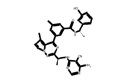 Cc1cc(C(=O)N[C@@H](C)c2cccc(O)c2)cc(-c2nc([C@H](C)Nc3ncnc(N)c3C#N)nn3ccc(C)c23)c1